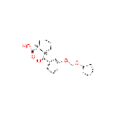 O=C(c1cccc(OCOC2CCCC2)c1)[C@H]1CCCC[C@H]1C(=O)O